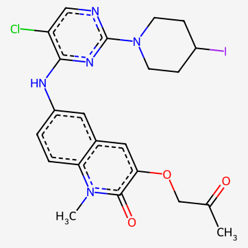 CC(=O)COc1cc2cc(Nc3nc(N4CCC(I)CC4)ncc3Cl)ccc2n(C)c1=O